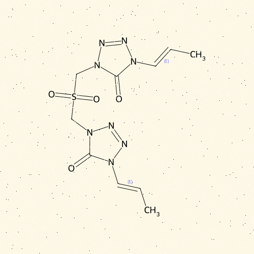 C/C=C/n1nnn(CS(=O)(=O)Cn2nnn(/C=C/C)c2=O)c1=O